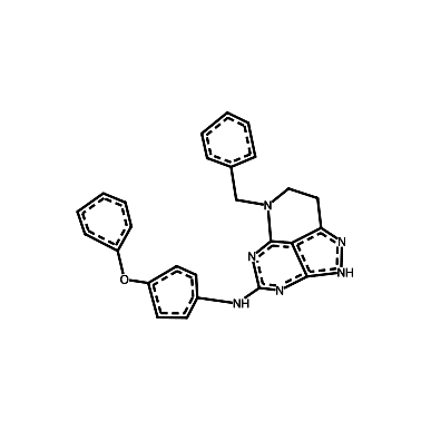 c1ccc(CN2CCc3n[nH]c4nc(Nc5ccc(Oc6ccccc6)cc5)nc2c34)cc1